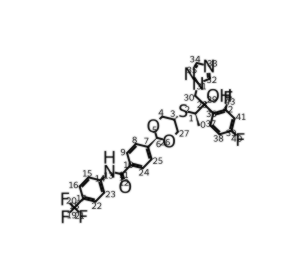 C[C@@H](S[C@H]1CO[C@H](c2ccc(C(=O)Nc3ccc(C(F)(F)F)cc3)cc2)OC1)[C@](O)(Cn1cncn1)c1ccc(F)cc1F